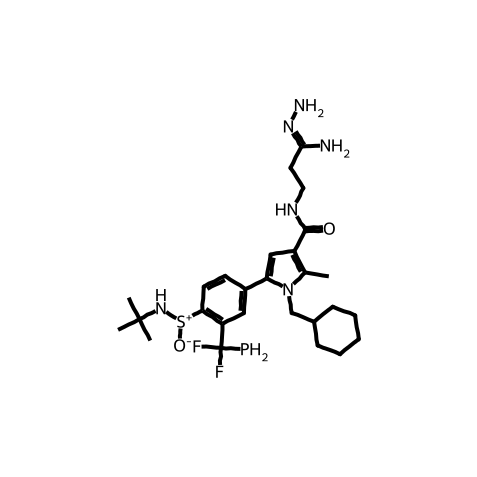 Cc1c(C(=O)NCC/C(N)=N/N)cc(-c2ccc([S+]([O-])NC(C)(C)C)c(C(F)(F)P)c2)n1CC1CCCCC1